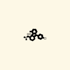 Cc1ccccc1C1(O)C(=Cc2ccc(Cl)cc2)CCCC1CN(C)C